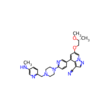 CNc1ccc(CN2CCN(c3ccc(-c4cc(OC[C@@H](C)OC)cn5ncc(C#N)c45)cn3)CC2)nc1